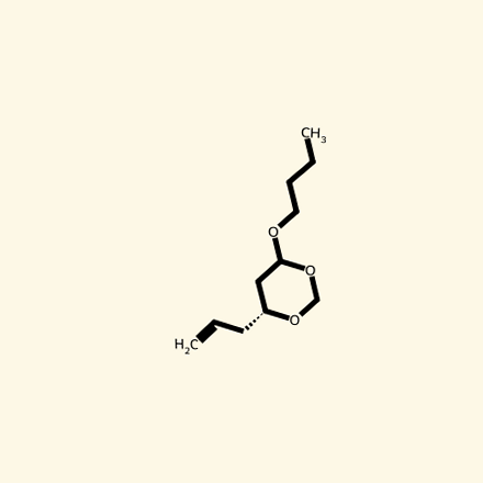 C=CC[C@@H]1CC(OCCCC)OCO1